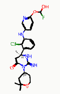 CC1(C)C[C@@H](N2C(=N)N[C@](C)(c3cccc(Nc4ccc(OC(O)F)nc4)c3Cl)CC2=O)CCO1